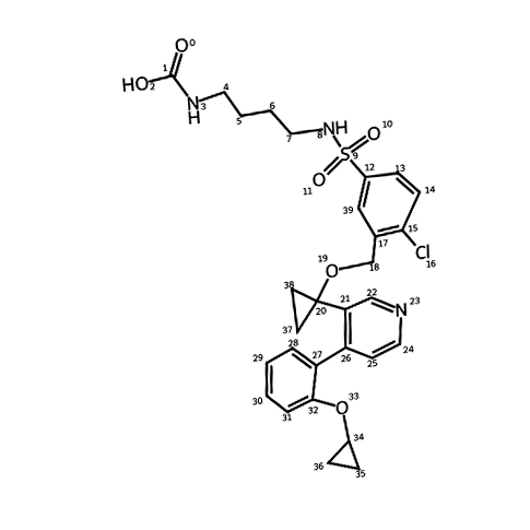 O=C(O)NCCCCNS(=O)(=O)c1ccc(Cl)c(COC2(c3cnccc3-c3ccccc3OC3CC3)CC2)c1